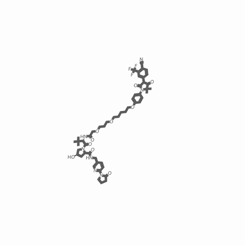 CC(C)(C)[C@H](NC(=O)COCCCOCCCCCOc1ccc(N2C(=O)C(c3ccc(C#N)c(C(F)(F)F)c3)C(=O)C2(C)C)cc1)C(=O)N1C[C@H](O)CC1C(=O)NCc1ccc(N2CCCC2=O)nc1